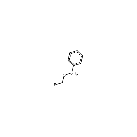 FCO[SiH2]c1ccccc1